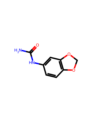 NC(=O)Nc1ccc2c(c1)OCO2